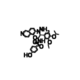 CCOc1cc(C(C(=O)NS(=O)(=O)c2ccc(O)cc2)N(N)c2ccc3cnccc3c2)ccc1OC(C)C